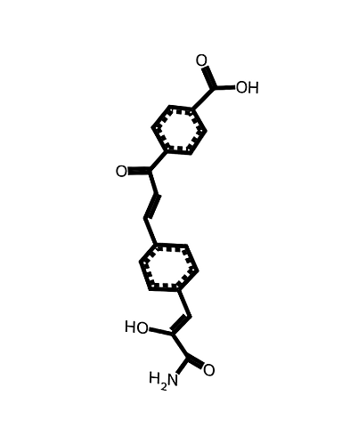 NC(=O)C(O)=Cc1ccc(C=CC(=O)c2ccc(C(=O)O)cc2)cc1